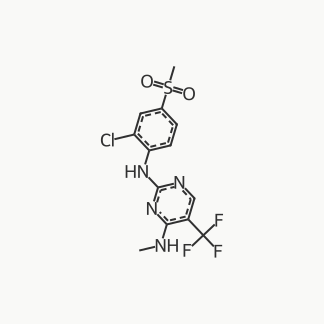 CNc1nc(Nc2ccc(S(C)(=O)=O)cc2Cl)ncc1C(F)(F)F